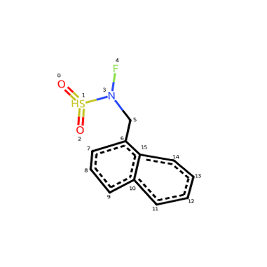 O=[SH](=O)N(F)Cc1cccc2ccccc12